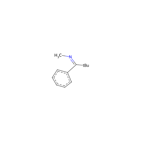 C/N=C(\c1ccccc1)C(C)(C)C